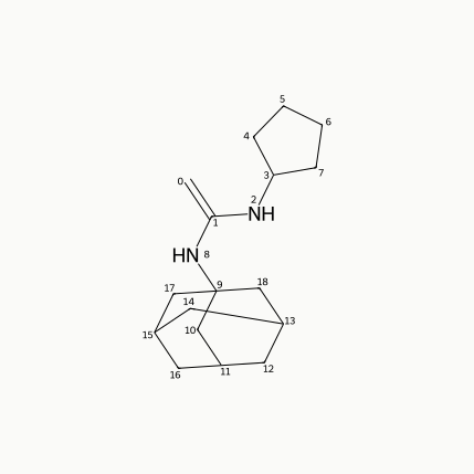 C=C(NC1CCCC1)NC12CC3CC(CC(C3)C1)C2